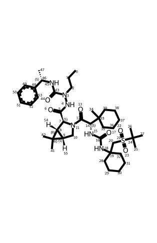 CCCN(NC(=O)[C@@H]1[C@@H]2[C@H](CN1C(=O)[C@@H](NC(=O)NC1(CS(=O)(=O)C(C)(C)C)CCCCC1)C1(C)CCCCC1)C2(C)C)C(=O)N[C@@H](C)c1ccccc1